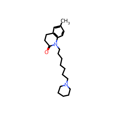 Cc1ccc2c(c1)CCC(=O)N2CCCCCCCN1CCCCC1